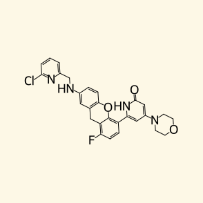 O=c1cc(N2CCOCC2)cc(-c2ccc(F)c3c2Oc2ccc(NCc4cccc(Cl)n4)cc2C3)[nH]1